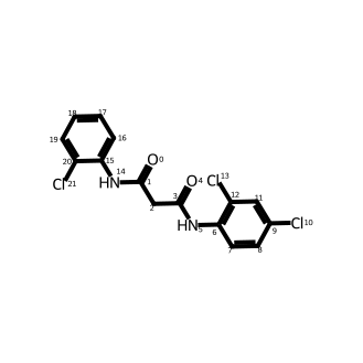 O=C(CC(=O)Nc1ccc(Cl)cc1Cl)Nc1ccccc1Cl